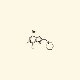 Cn1cc(Br)c2cc(CN3CCCCC3)sc2c1=O